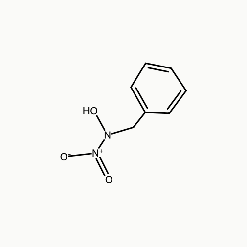 O=[N+]([O-])N(O)Cc1ccccc1